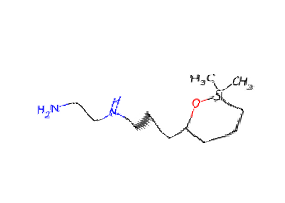 C[Si]1(C)CCCC(CCCNCCN)O1